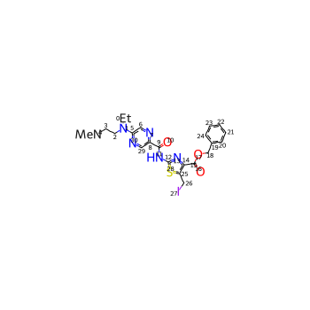 CCN(CCNC)c1cnc(C(=O)Nc2nc(C(=O)OCc3ccccc3)c(CI)s2)cn1